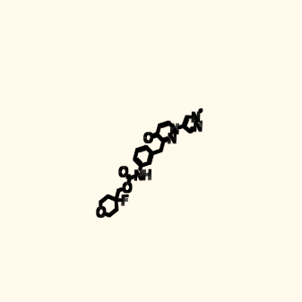 Cn1cc(-n2ccc(=O)c(Cc3cccc(NC(=O)OCC4(F)CCOCC4)c3)n2)cn1